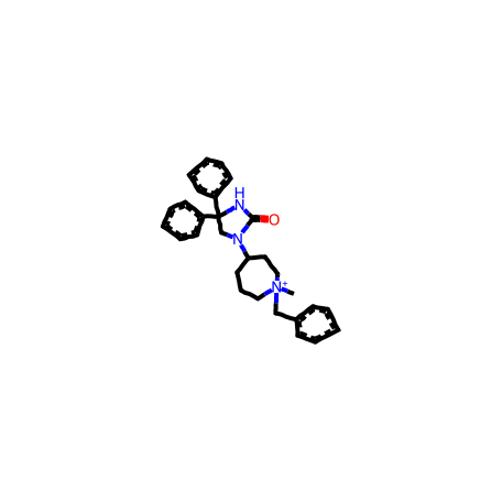 C[N+]1(Cc2ccccc2)CCCC(N2CC(c3ccccc3)(c3ccccc3)NC2=O)CC1